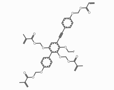 C=CC(=O)OCOc1ccc(C#Cc2cc(OCOC(=O)C(=C)C)c(-c3ccc(OCOC(=O)C(=C)C)cc3)c(OCOC(=O)C(=C)C)c2OCF)cc1